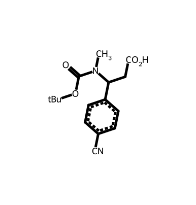 CN(C(=O)OC(C)(C)C)C(CC(=O)O)c1ccc(C#N)cc1